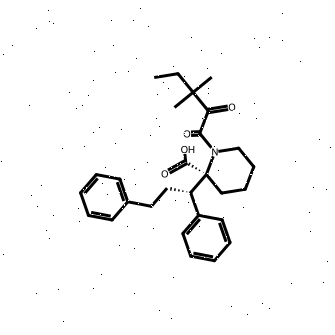 CCC(C)(C)C(=O)C(=O)N1CCCC[C@@]1(C(=O)O)[C@@H](CCc1ccccc1)c1ccccc1